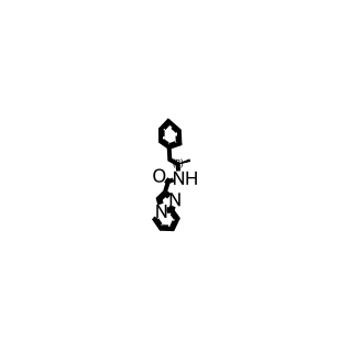 C[C@H](Cc1ccccc1)NC(=O)c1cn2ccccc2n1